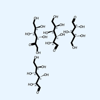 O=C(CO)[C@@H](O)[C@H](O)[C@H](O)CO.O=C[C@H](O)[C@@H](O)[C@@H](O)[C@H](O)CO.O=C[C@H](O)[C@@H](O)[C@H](O)CO.O=C[C@H](O)[C@@H](O)[C@H](O)[C@H](O)CO